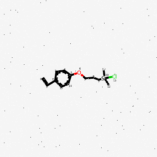 C=Cc1ccc(OCCC[Si](C)(C)Cl)cc1